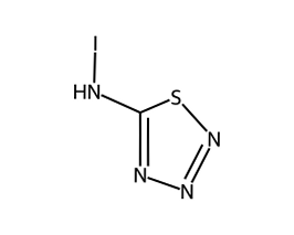 INc1nnns1